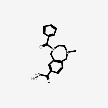 CN1CCN(C(=O)c2ccccc2)Cc2cc(C(=O)NO)ccc2C1